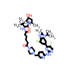 Cc1nc2c(F)cc(-c3nc(Nc4ccc(CN5CCN(C(=O)CCCCC(=O)N[C@H](C(=O)N6C[C@H](O)C[C@H]6C)C(C)(C)C)CC5)cn4)ncc3F)cc2n1C(C)C